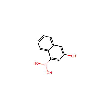 OB(O)c1cc(O)cc2ccccc12